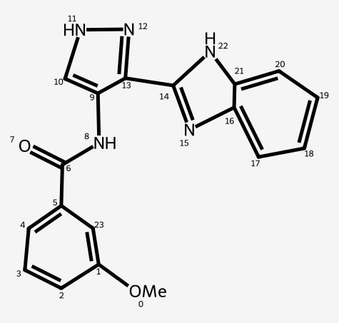 COc1cccc(C(=O)Nc2c[nH]nc2-c2nc3ccccc3[nH]2)c1